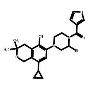 CCC1CN(c2cc(C3CC3)c3c(c2C#N)CC(C)(C)OC3)CCN1C(=O)c1ccoc1